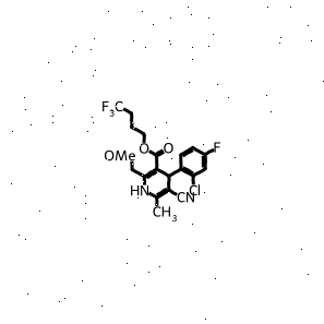 COCC1=C(C(=O)OCCCC(F)(F)F)C(c2ccc(F)cc2Cl)C(C#N)=C(C)N1